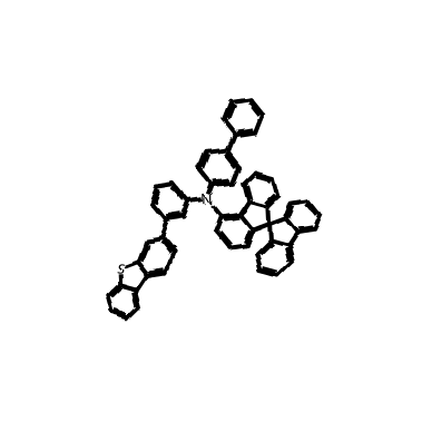 c1ccc(-c2ccc(N(c3cccc(-c4ccc5c(c4)sc4ccccc45)c3)c3cccc4c3-c3ccccc3C43c4ccccc4-c4ccccc43)cc2)cc1